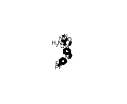 Nc1ncnc2c1C(=O)N(c1ccc3c(ccn3-c3ccc(C(F)(F)F)cc3)c1)CCO2